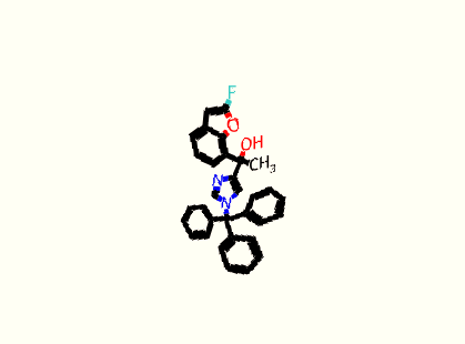 CC(O)(c1cn(C(c2ccccc2)(c2ccccc2)c2ccccc2)cn1)c1cccc2cc(F)oc12